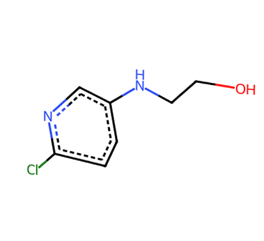 OCCNc1ccc(Cl)nc1